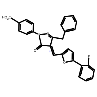 O=C(O)c1ccc(N2N=C(Cc3ccccc3)/C(=C\c3ccc(-c4ccccc4F)o3)C2=O)cc1